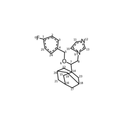 Fc1ccc(COC(Cn2ccnc2)C23CC4CC(CC(C4)C2)C3)cc1